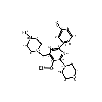 CCOc1c(CN2CCN(CC)CC2)nc(-c2cccc(O)c2)nc1N1CCOCC1